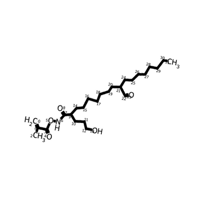 C=C(C)C(=O)ONC(=O)C(CCCO)CCCCCCCC(C=O)CCCCCCCC